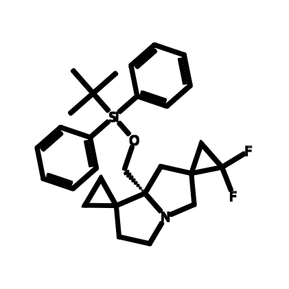 CC(C)(C)[Si](OC[C@]12CC3(CN1CCC21CC1)CC3(F)F)(c1ccccc1)c1ccccc1